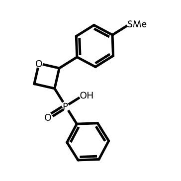 CSc1ccc(C2OCC2P(=O)(O)c2ccccc2)cc1